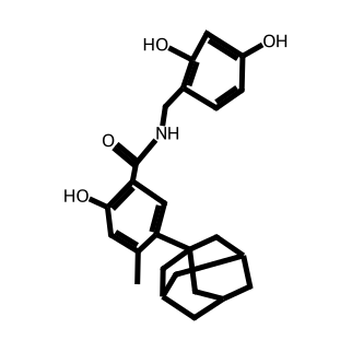 Cc1cc(O)c(C(=O)NCc2ccc(O)cc2O)cc1C12CC3CC(CC(C3)C1)C2